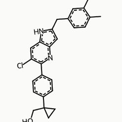 Cc1ccc(Cc2cc3nc(-c4ccc(C5(CO)CC5)cc4)c(Cl)cc3[nH]2)cc1C